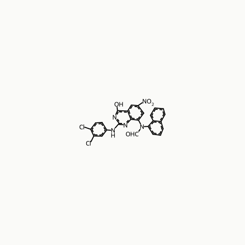 O=CN(c1cccc2ccccc12)c1cc([N+](=O)[O-])cc2c(O)nc(Nc3ccc(Cl)c(Cl)c3)nc12